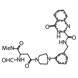 CNC(=O)C(CC(=O)N1CCN(c2cccc(CNC(=O)c3nc4ccccc4c(=O)[nH]3)c2)CC1)NC=O